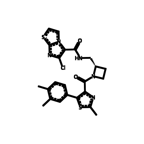 Cc1nc(C(=O)N2CC[C@H]2CNC(=O)c2c(Cl)nc3sccn23)c(-c2ccc(C)c(C)c2)s1